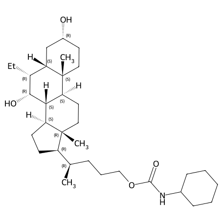 CC[C@H]1[C@@H](O)[C@@H]2[C@H](CC[C@]3(C)[C@@H]([C@H](C)CCCOC(=O)NC4CCCCC4)CC[C@@H]23)[C@@]2(C)CC[C@@H](O)C[C@@H]12